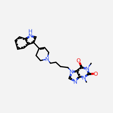 Cn1c(=O)c2c(ncn2CCCCN2CC=C(c3c[nH]c4ccccc34)CC2)n(C)c1=O